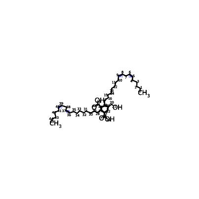 CCCCC/C=C\C/C=C\CCCCCCCCc1c(CO)cc(C(=O)O)c(CCCCCCCC/C=C\C/C=C\CCCCC)c1C(=O)O